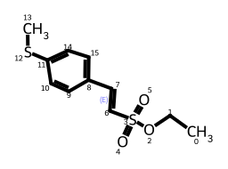 CCOS(=O)(=O)/C=C/c1ccc(SC)cc1